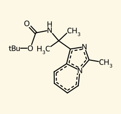 Cc1nc(C(C)(C)NC(=O)OC(C)(C)C)c2ccccn12